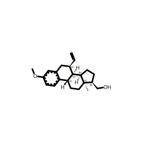 C=C[C@@H]1Cc2cc(OC)ccc2[C@H]2CC[C@]3(C)[C@H](CO)CC[C@@H]3[C@H]12